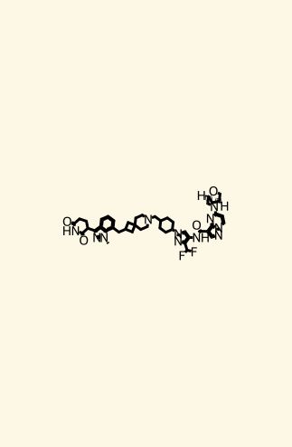 Cn1nc(C2CCC(=O)NC2=O)c2cccc(CC3CC4(CCN(CC5CCC(n6cc(NC(=O)c7cnn8ccc(N9C[C@H]%10C[C@@H]9CO%10)nc78)c(C(F)F)n6)CC5)CC4)C3)c21